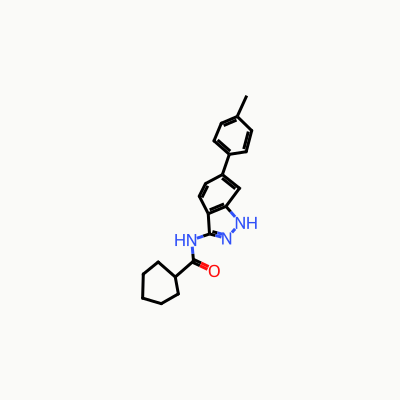 Cc1ccc(-c2ccc3c(NC(=O)C4CCCCC4)n[nH]c3c2)cc1